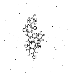 Cc1cnc(NC(=O)c2ccc(CN3C(=O)c4ccc(Cl)cc4NC(=O)[C@H]3Cc3ccccn3)cc2Cl)cn1